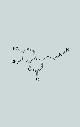 [N-]=[N+]=NCc1cc(=O)oc2c(C=O)c(O)ccc12